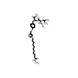 CNC(=O)CCCCCCCCCCn1cc(COc2ccc(C[C@H](NC(=O)[C@H](CC(C)C)NC)C(N)=O)cc2)nn1